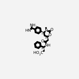 CN1C(=O)O[C@@H](CC(=O)N[C@H](CC(=O)O)c2ccccc2)C[C@H]1c1ccc(C(=N)N)cc1